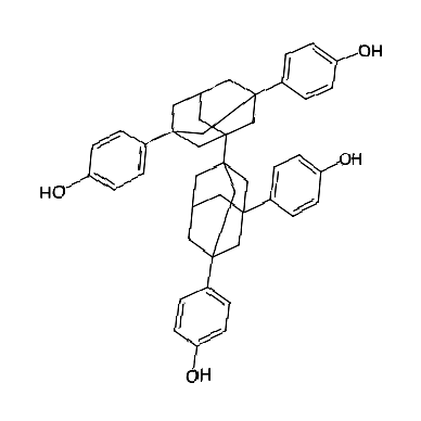 Oc1ccc(C23CC4CC(c5ccc(O)cc5)(C2)CC(C25CC6CC(c7ccc(O)cc7)(CC(c7ccc(O)cc7)(C6)C2)C5)(C4)C3)cc1